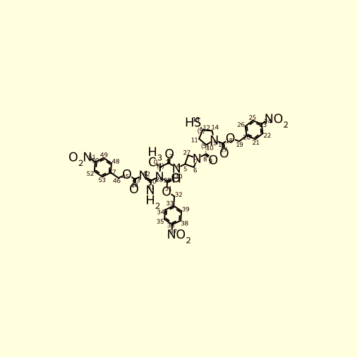 C[C@@H](C(=O)NC1CN(C(=O)[C@@H]2C[C@H](S)CN2C(=O)OCc2ccc([N+](=O)[O-])cc2)C1)N(C(=O)OCc1ccc([N+](=O)[O-])cc1)C(N)=NC(=O)OCc1ccc([N+](=O)[O-])cc1